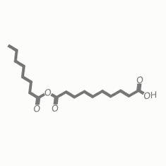 CCCCCCCC(=O)OC(=O)CCCCCCCCC(=O)O